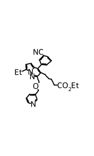 CCOC(=O)CCCCc1c(COCc2cccnc2)nn2c(CC)ccc2c1-c1cccc(C#N)c1